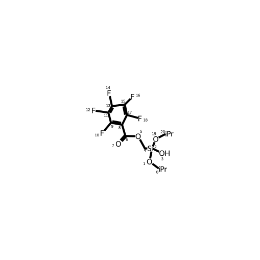 CC(C)O[Si](O)(COC(=O)c1c(F)c(F)c(F)c(F)c1F)OC(C)C